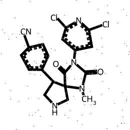 CN1C(=O)N(c2cc(Cl)nc(Cl)c2)C(=O)C12CNCC2c1ccc(C#N)cc1